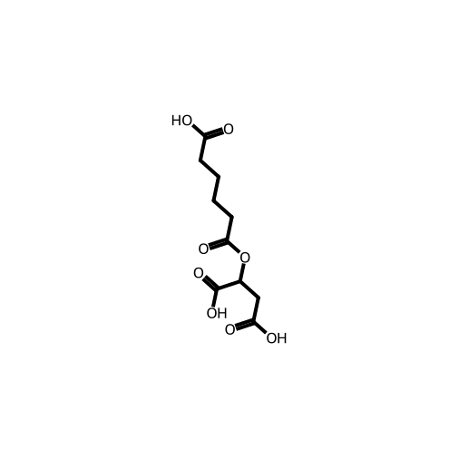 O=C(O)CCCCC(=O)OC(CC(=O)O)C(=O)O